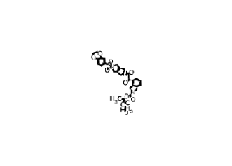 CC(C)(C)OC(=O)N1Cc2cccc(C(=O)C(=O)N3CC4=C(C3)CN(S(=O)(=O)c3ccc5c(c3)OCCO5)C4)c2C1